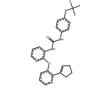 O=C(Nc1ccc(OC(F)(F)F)cc1)Nc1cccnc1Oc1cccnc1C1=CCCC1